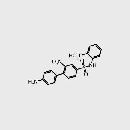 Nc1ccc(-c2ccc(S(=O)(=O)Nc3ccccc3C(=O)O)cc2[N+](=O)[O-])cc1